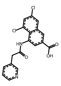 O=C(Cc1cccnc1)Nc1cc(C(=O)O)cc2cc(Cl)cc(Cl)c12